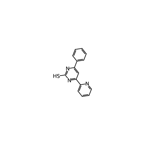 Sc1nc(-c2ccccc2)cc(-c2ccccn2)n1